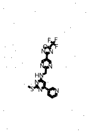 CSc1nc(NCc2ncc(-c3noc(C(F)(F)F)n3)cn2)cc(-c2cccnc2)n1